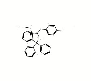 CON(C)C(=O)C(Cc1ccc(NC(=O)O)cc1)NC(c1ccccc1)(c1ccccc1)c1ccccc1